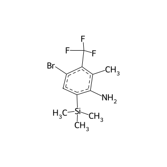 Cc1c(N)c([Si](C)(C)C)cc(Br)c1C(F)(F)F